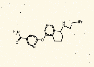 CC(C)CCNC1CCCc2c(Oc3ccc(C(N)=O)cn3)cccc21